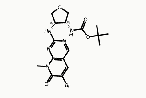 Cn1c(=O)c(Br)cc2cnc(N[C@@H]3COC[C@@H]3NC(=O)OC(C)(C)C)nc21